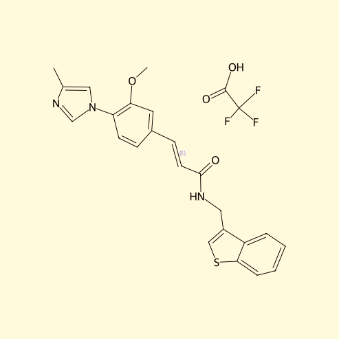 COc1cc(/C=C/C(=O)NCc2csc3ccccc23)ccc1-n1cnc(C)c1.O=C(O)C(F)(F)F